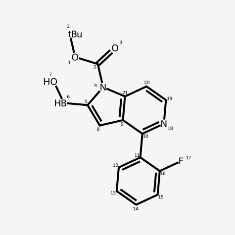 CC(C)(C)OC(=O)n1c(BO)cc2c(-c3ccccc3F)nccc21